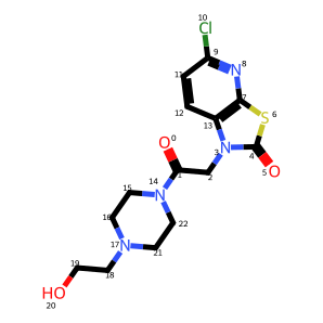 O=C(Cn1c(=O)sc2nc(Cl)ccc21)N1CCN(CCO)CC1